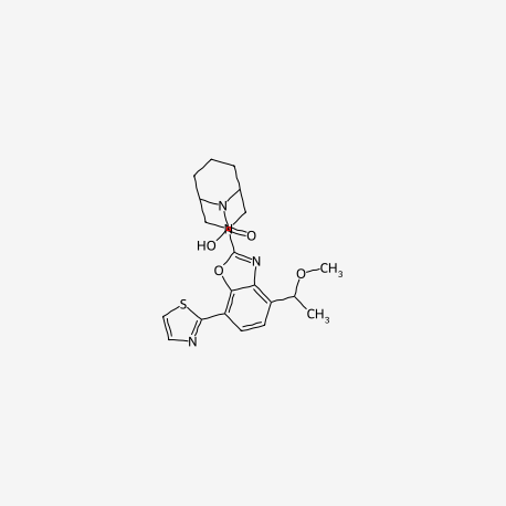 COC(C)c1ccc(-c2nccs2)c2oc(N3CC4CCCC(C3)N4C(=O)O)nc12